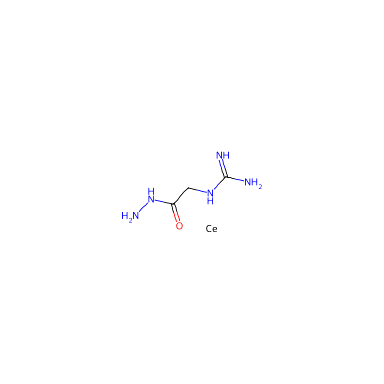 N=C(N)NCC(=O)NN.[Ce]